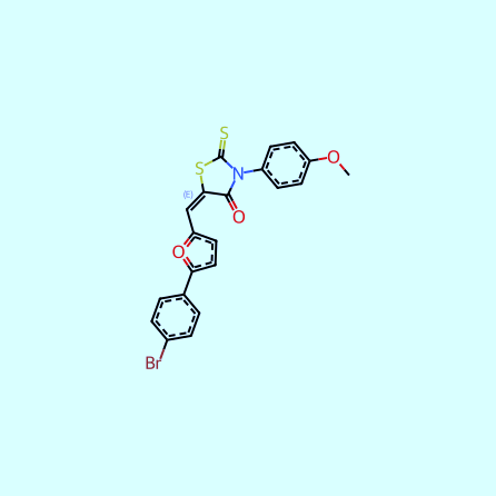 COc1ccc(N2C(=O)/C(=C\c3ccc(-c4ccc(Br)cc4)o3)SC2=S)cc1